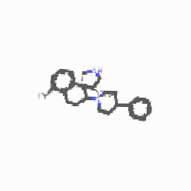 CC(C)c1cccc2c1CCC(N1CCC(c3ccccc3)CC1)[C@@]21CNC[C@H]1C=O